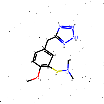 COc1ccc(Cc2nn[nH]n2)cc1SN(C)C